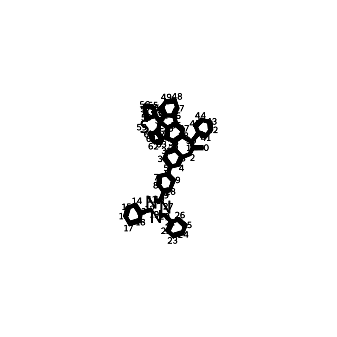 C=C1Cc2cc(-c3ccc(-c4nc(-c5ccccc5)nc(-c5ccccc5)n4)cc3)ccc2-c2cc3c(cc2C1c1ccccc1)-c1ccccc1C31c2ccccc2Sc2ccccc21